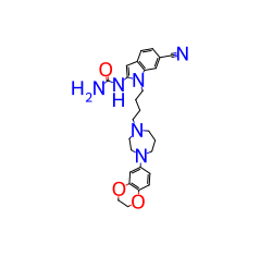 N#Cc1ccc2cc(NC(N)=O)n(CCCCN3CCCN(c4ccc5c(c4)OCCO5)CC3)c2c1